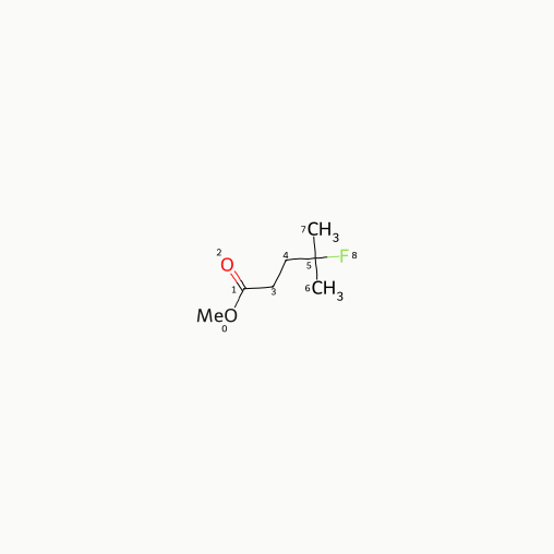 COC(=O)CCC(C)(C)F